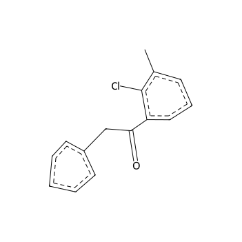 Cc1cccc(C(=O)Cc2ccccc2)c1Cl